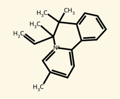 C=CC1(C)[n+]2cc(C)ccc2-c2ccccc2C1(C)C